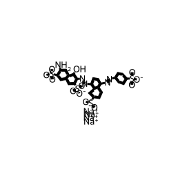 Nc1cc2c(O)c(N=Nc3ccc(N=Nc4ccc(S(=O)(=O)[O-])cc4)c4ccc(S(=O)[O-])cc34)c(S(=O)(=O)[O-])cc2cc1S(=O)(=O)[O-].[Na+].[Na+].[Na+].[Na+]